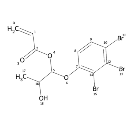 C=CC(=O)OC(Oc1ccc(Br)c(Br)c1Br)C(C)O